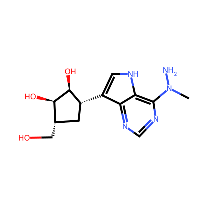 CN(N)c1ncnc2c([C@@H]3C[C@H](CO)[C@@H](O)[C@H]3O)c[nH]c12